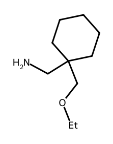 CCOCC1(CN)CCCCC1